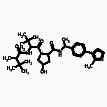 Cc1nccn1-c1ccc(C(C)NC(=O)C2CC(O)CN2C(=O)C(NC(=O)C(C)C(C)(C)C)C(C)(C)C)cc1